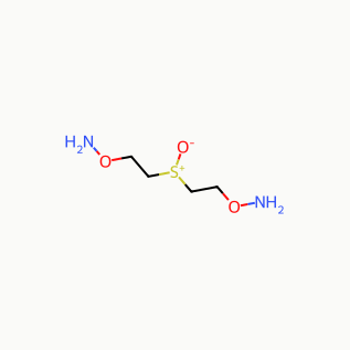 NOCC[S+]([O-])CCON